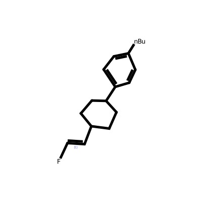 CCCCc1ccc(C2CCC(/C=C/F)CC2)cc1